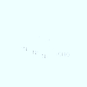 C=CC(C=O)N=[N+]=[N-]